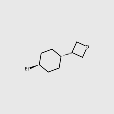 CC[C@H]1CC[C@H](C2COC2)CC1